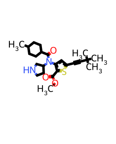 COC(=O)c1sc(C#CC(C)(C)C)cc1N(C(=O)C1CCC(C)CC1)C1CCNC1